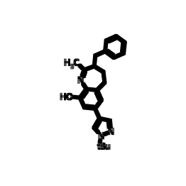 CC1=Nc2c(O)cc(-c3cnn(C(C)(C)C)c3)cc2CCC1Cc1ccccc1